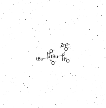 CC(C)(C)[PH](=O)[O-].CC(C)(C)[PH](=O)[O-].[Zn+2]